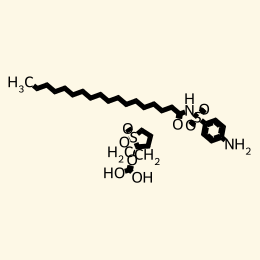 C=C.CCCCCCCCCCCCCCCCCC(=O)NS(=O)(=O)c1ccc(N)cc1.O=C(O)O.O=S1(=O)CCCC1